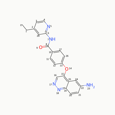 CCc1ccnc(NC(=O)c2ccc(Oc3cnnc4ccc(N)cc34)cc2)c1